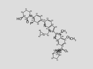 COc1cc(C(=O)N2CC3CCC2[C@@H]3N)cc2nc(-c3cc4ccc(-c5ccc(N6CCCC(O)C6=O)c(F)c5)nc4n3CC3CC3)n(C)c12